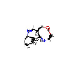 C1=COC=c2cnc3ccccc3c2=N1